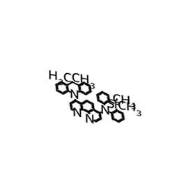 CC1(C)c2ccccc2N(c2ccnc3c2ccc2c(N4c5ccccc5[Si](C)(C)c5ccccc54)ccnc23)c2ccccc21